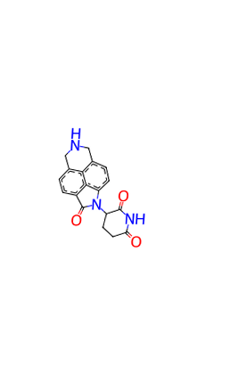 O=C1CCC(N2C(=O)c3ccc4c5c(ccc2c35)CNC4)C(=O)N1